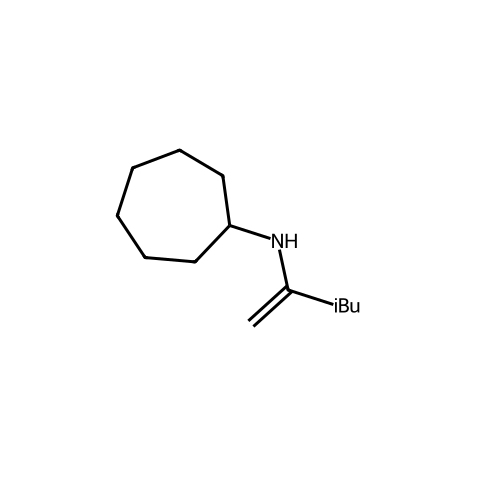 C=C(NC1CCCCCC1)C(C)CC